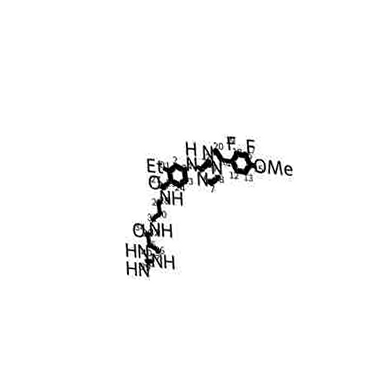 CCc1cc(Nc2nccn3c(-c4ccc(OC)c(F)c4F)cnc23)ccc1C(=O)NCCCNC(=O)C1CNC(=N)N1